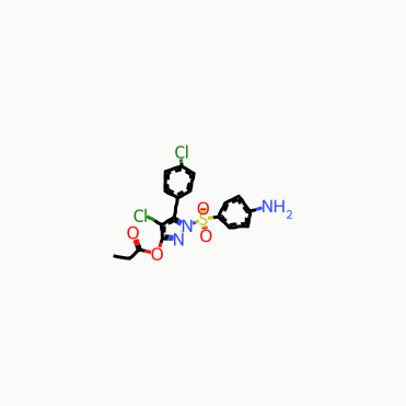 CCC(=O)Oc1nn(S(=O)(=O)c2ccc(N)cc2)c(-c2ccc(Cl)cc2)c1Cl